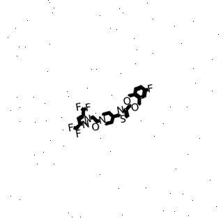 O=C(Cn1nc(C(F)F)cc1C(F)F)N1CCC(c2nc(C3OCc4ccc(F)cc4CO3)cs2)CC1